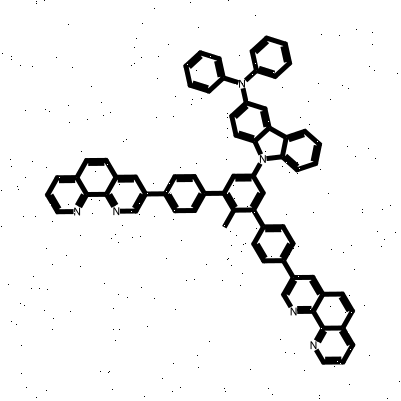 Cc1c(-c2ccc(-c3cnc4c(ccc5cccnc54)c3)cc2)cc(-n2c3ccccc3c3cc(N(c4ccccc4)c4ccccc4)ccc32)cc1-c1ccc(-c2cnc3c(ccc4cccnc43)c2)cc1